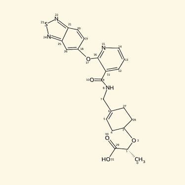 C[C@@H](OC1CC=C(CNC(=O)c2cccnc2Oc2ccc3nsnc3c2)CC1)C(=O)O